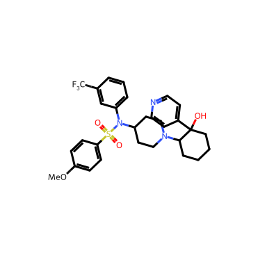 COc1ccc(S(=O)(=O)N(c2cccc(C(F)(F)F)c2)C2CCN(C3CCCCC3(O)c3ccncc3)CC2)cc1